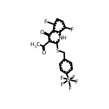 CC(=O)c1c(SCc2ccc(S(F)(F)(F)(F)F)cc2)[nH]c2c(F)ccc(F)c2c1=O